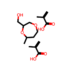 C=C(C)C(=O)O.C=C(C)C(=O)O.CC1CCOCC(CO)O1